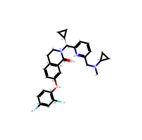 CN(Cc1cccc([C@@H](C2CC2)N2CCc3ccc(Oc4ccc(F)cc4F)cc3C2=O)n1)C1CC1